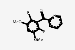 COc1cc(OC)c(F)c(C(=O)c2ccccn2)c1F